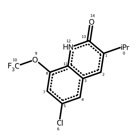 CC(C)c1cc2cc(Cl)cc(OC(F)(F)F)c2[nH]c1=O